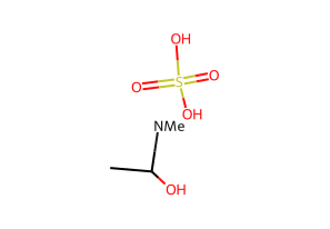 CNC(C)O.O=S(=O)(O)O